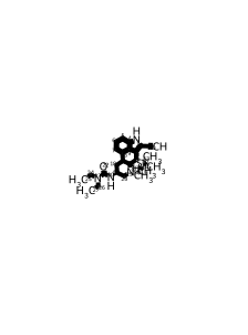 C#Cc1[nH]c2cccc3c2c1C([Si](C)(C)C)[C@@H]1C3C[C@H](NC(=O)N(CC)CC)CN1C